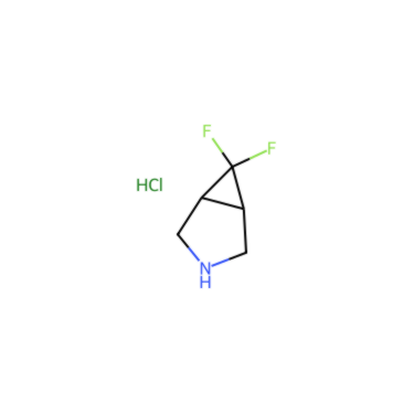 Cl.FC1(F)C2CNCC21